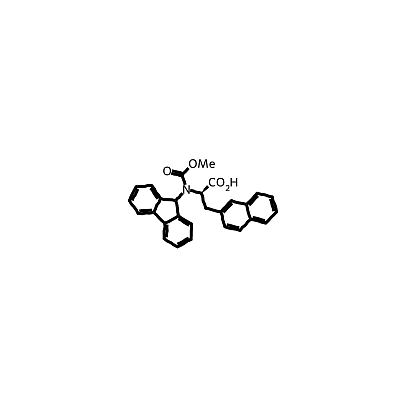 COC(=O)N(C1c2ccccc2-c2ccccc21)[C@H](Cc1ccc2ccccc2c1)C(=O)O